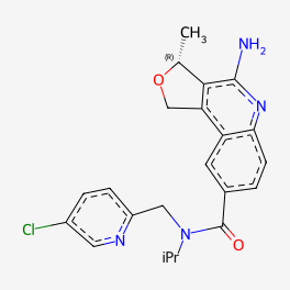 CC(C)N(Cc1ccc(Cl)cn1)C(=O)c1ccc2nc(N)c3c(c2c1)CO[C@@H]3C